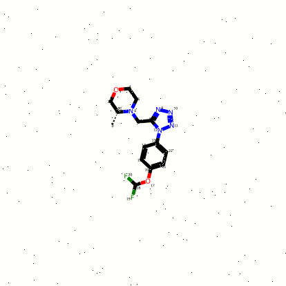 C[C@@H]1COCCN1Cc1nnnn1-c1ccc(OC(F)F)cc1